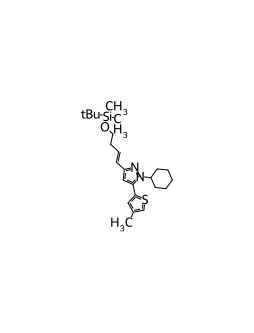 Cc1csc(-c2cc(C=CCCO[Si](C)(C)C(C)(C)C)nn2C2CCCCC2)c1